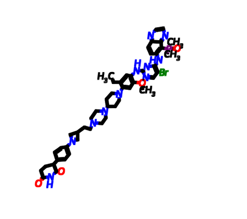 CCc1cc(Nc2ncc(Br)c(Nc3ccc4nccnc4c3P(C)(C)=O)n2)c(OC)cc1N1CCC(N2CCN(CCC3CN(c4ccc(C5CCC(=O)NC5=O)cc4)C3)CC2)CC1